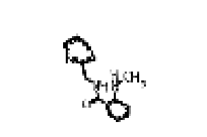 CNc1ccccc1C(=O)NCc1ccccn1